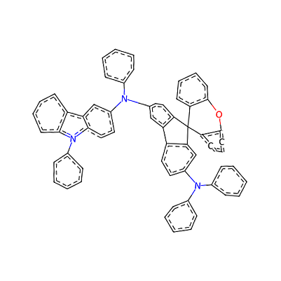 c1ccc(N(c2ccccc2)c2ccc3c(c2)C2(c4ccccc4Oc4ccccc42)c2ccc(N(c4ccccc4)c4ccc5c(c4)c4ccccc4n5-c4ccccc4)cc2-3)cc1